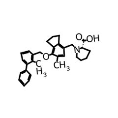 Cc1cc(CN2CCCC[C@H]2C(=O)O)c2c(c1OCc1cccc(-c3ccccc3)c1C)CCC2